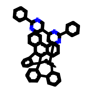 c1ccc(-c2ncc(-c3cc(-c4ccc5c(c4)C4(c6ccccc6-c6ccccc6-5)c5ccccc5-c5c4c4ccccc4c4ccccc54)nc(-c4ccccc4)n3)cn2)cc1